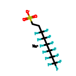 O=S(=O)([O-])CCC(F)(F)C(F)(F)C(F)(F)C(F)(F)C(F)(F)C(F)(F)F.[Na+]